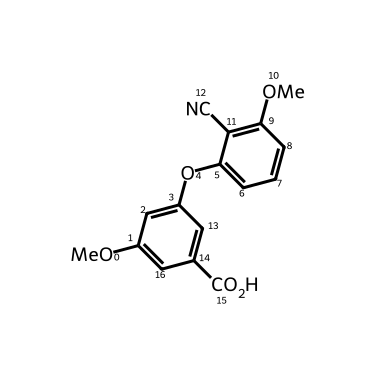 COc1cc(Oc2cccc(OC)c2C#N)cc(C(=O)O)c1